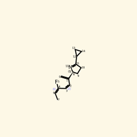 C=C(/C=C\C(F)=C/C)[C@@H]1CCC(C2CC2)=N1